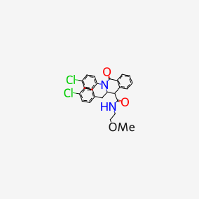 COCCNC(=O)C1c2ccccc2C(=O)N(c2ccc(Cl)cc2)C1Cc1ccc(Cl)cc1